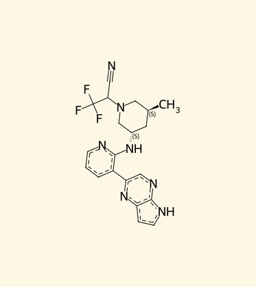 C[C@H]1C[C@H](Nc2ncccc2-c2cnc3[nH]ccc3n2)CN(C(C#N)C(F)(F)F)C1